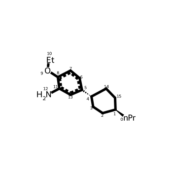 CCC[C@H]1CC[C@H](c2ccc(OCC)c(N)c2)CC1